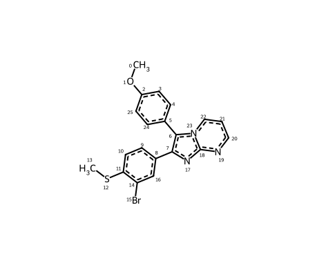 COc1ccc(-c2c(-c3ccc(SC)c(Br)c3)nc3ncccn23)cc1